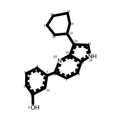 Oc1cccc(-c2ccc3[nH]cc(C4CCCCC4)c3n2)c1